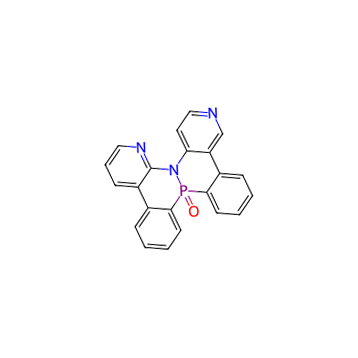 O=P12c3ccccc3-c3cnccc3N1c1ncccc1-c1ccccc12